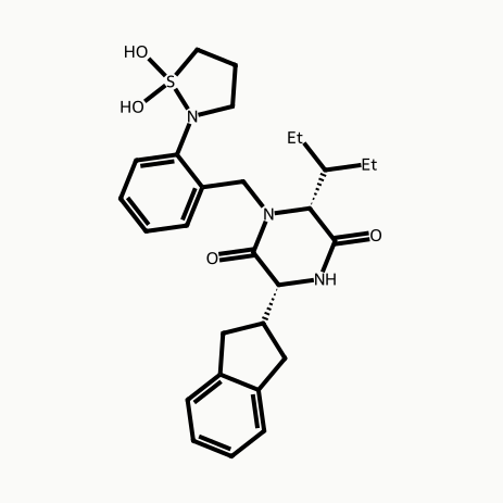 CCC(CC)[C@@H]1C(=O)N[C@H](C2Cc3ccccc3C2)C(=O)N1Cc1ccccc1N1CCCS1(O)O